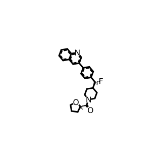 O=C([C@H]1CCCO1)N1CCC([C@@H](F)c2ccc(-c3cnc4ccccc4c3)cc2)CC1